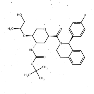 C[C@@H](CO)O[C@H]1CO[C@@H](C(=O)N2CCc3ccccc3[C@@H]2c2ccc(F)cc2)C[C@@H]1NC(=O)OC(C)(C)C